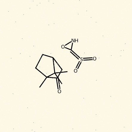 CC12CCC(CC1=O)C2(C)C.O=S(=O)=C1NO1